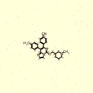 Cc1ccc(-c2c(-c3ccc(C#N)cc3)nc(OCC3CCCN(C)C3)n3ccnc23)cc1